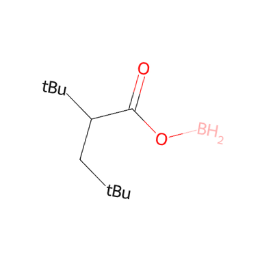 BOC(=O)C(CC(C)(C)C)C(C)(C)C